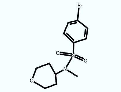 CN(C1CCOCC1)S(=O)(=O)c1ccc(Br)cc1